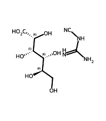 N#CNC(=N)N.O=C(O)[C@H](O)[C@@H](O)[C@H](O)[C@H](O)CO